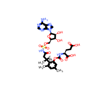 Cc1cc(C)c(C(C)(C)CC(=O)NS(=O)(=O)OC[C@H]2O[C@@H](n3cnc4c(N)ncnc43)[C@H](O)[C@@H]2O)c(OC(=O)N[C@@H](CCC(=O)O)C(=O)O)c1